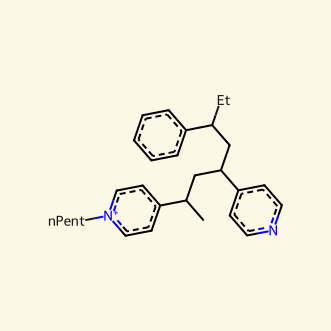 CCCCC[n+]1ccc(C(C)CC(CC(CC)c2ccccc2)c2ccncc2)cc1